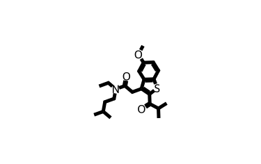 CCN(CCC(C)C)C(=O)Cc1c(C(=O)C(C)C)sc2ccc(OC)cc12